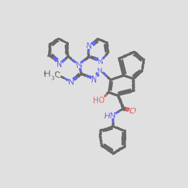 C/N=C(/N=N/c1c(O)c(C(=O)Nc2ccccc2)cc2ccccc12)N(c1ccccn1)c1ncccn1